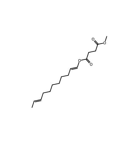 CC=CCCCCCCC=COC(=O)CCC(=O)OC